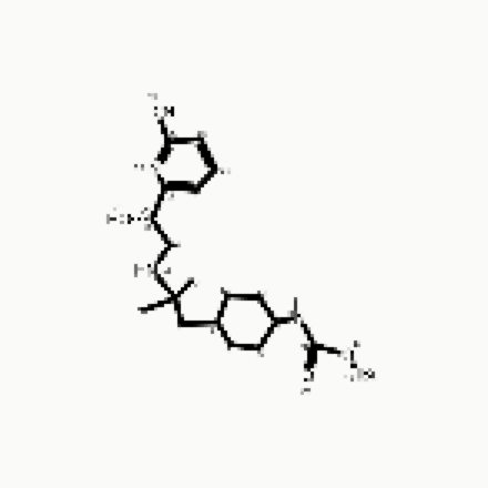 CC(C)(CC1CCC(NC(=O)OC(C)(C)C)CC1)NC[C@H](O)c1cccc(C#N)n1